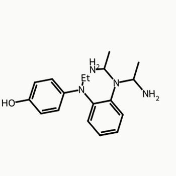 CCN(c1ccc(O)cc1)c1ccccc1N(C(C)N)C(C)N